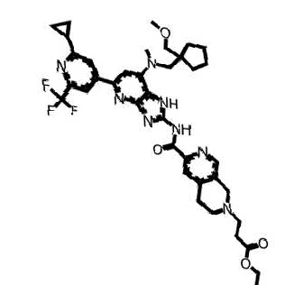 CCOC(=O)CCN1CCc2cc(C(=O)Nc3nc4nc(-c5cc(C6CC6)nc(C(F)(F)F)c5)cc(N(C)CC5(COC)CCCC5)c4[nH]3)ncc2C1